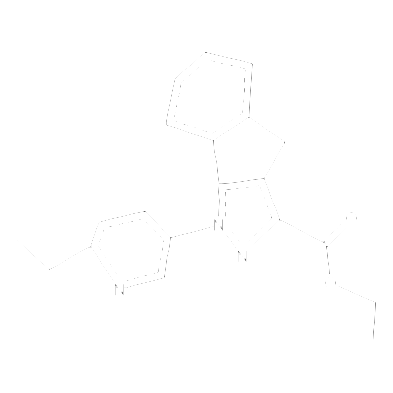 CCOC(=O)c1nn(-c2ccc(CC)nc2)c2c1Cc1ccccc1-2